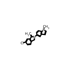 C=C1c2cc(Cl)ccc2CN1c1ccc2c(ccn2C)c1